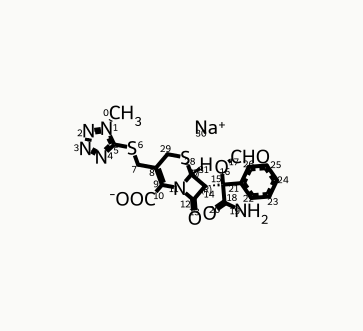 Cn1nnnc1SCC1=C(C(=O)[O-])N2C(=O)[C@@H](C(OC=O)(C(N)=O)c3ccccc3)[C@H]2SC1.[Na+]